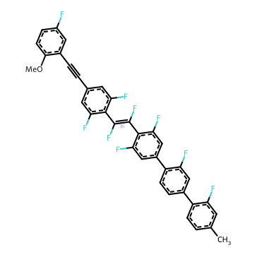 COc1ccc(F)cc1C#Cc1cc(F)c(/C(F)=C(\F)c2c(F)cc(-c3ccc(-c4ccc(C)cc4F)cc3F)cc2F)c(F)c1